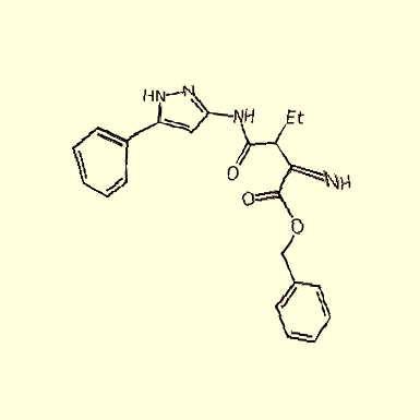 CCC(C(=N)C(=O)OCc1ccccc1)C(=O)Nc1cc(-c2ccccc2)[nH]n1